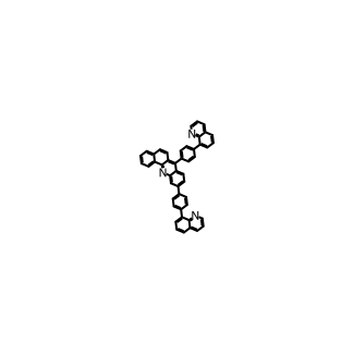 c1cnc2c(-c3ccc(-c4ccc5c(-c6ccc(-c7cccc8cccnc78)cc6)c6ccc7ccccc7c6nc5c4)cc3)cccc2c1